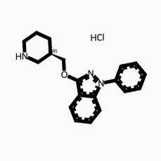 Cl.c1ccc(-n2nc(OC[C@@H]3CCCNC3)c3ccccc32)cc1